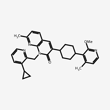 COc1nccc(C)c1C1CCC(c2cc3ccc(C)nc3n(Cc3ncccc3C3CC3)c2=O)CC1